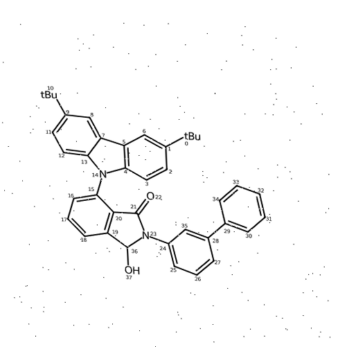 CC(C)(C)c1ccc2c(c1)c1cc(C(C)(C)C)ccc1n2-c1cccc2c1C(=O)N(c1cccc(-c3ccccc3)c1)C2O